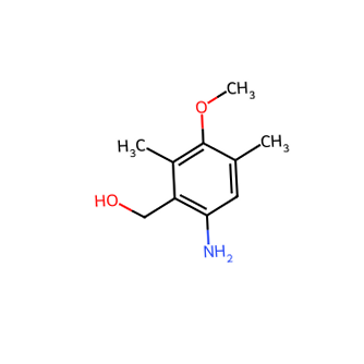 COc1c(C)cc(N)c(CO)c1C